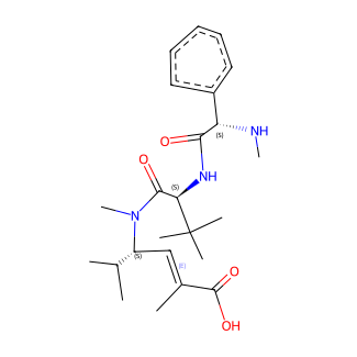 CN[C@H](C(=O)N[C@H](C(=O)N(C)[C@H](/C=C(\C)C(=O)O)C(C)C)C(C)(C)C)c1ccccc1